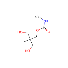 CCCCNC(=O)OCC(C)(CO)CO